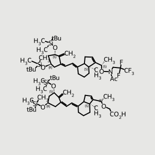 C=C1C(=CC=C2CCC[C@]3(C)C([C@H](C)OCC(=O)O)=CCC23)C[C@@H](O[Si](C)(C)C(C)(C)C)C[C@@H]1O[Si](C)(C)C(C)(C)C.C=C1C(=CC=C2CCC[C@]3(C)C([C@H](C)ON(CC(F)(F)C(F)(F)F)C(C)=O)=CCC23)C[C@@H](O[Si](C)(C)C(C)(C)C)C[C@@H]1O[Si](C)(C)C(C)(C)C